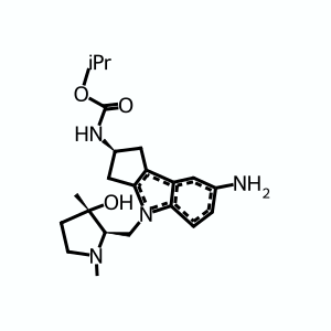 CC(C)OC(=O)N[C@H]1Cc2c(n(C[C@H]3N(C)CC[C@]3(C)O)c3ccc(N)cc23)C1